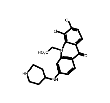 O=C(O)Cn1c2cc(NC3CCNCC3)ccc2c(=O)c2ccc(Cl)c(Cl)c21